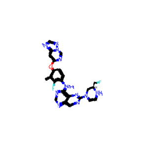 Cc1c(Oc2cc3ncnn3cn2)ccc(Nc2ncnc3cnc(N4CCN[C@H](CF)C4)nc23)c1F